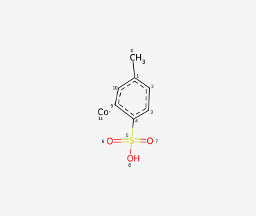 Cc1ccc(S(=O)(=O)O)cc1.[Co]